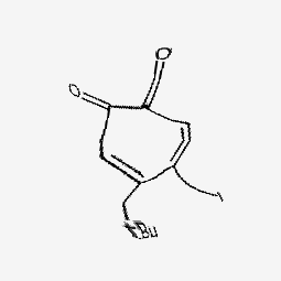 CC(C)(C)C1=CC(=O)C(=O)C=C1I